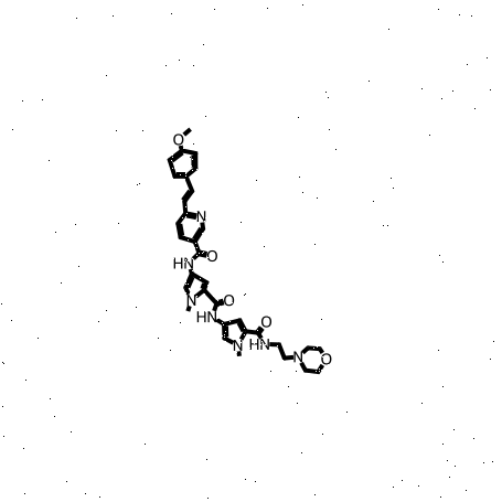 COc1ccc(C=Cc2ccc(C(=O)Nc3cc(C(=O)Nc4cc(C(=O)NCCN5CCOCC5)n(C)c4)n(C)c3)cn2)cc1